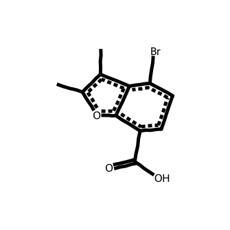 Cc1oc2c(C(=O)O)ccc(Br)c2c1C